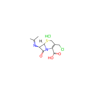 CC(C)=N[C@@H]1C(=O)N2C(C(=O)O)=C(CCl)CS[C@H]12.Cl